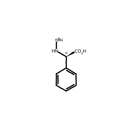 CCCCN[C@@H](C(=O)O)c1ccccc1